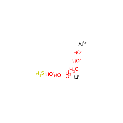 O.O.S.[Al+3].[Li+].[OH-].[OH-].[OH-].[OH-]